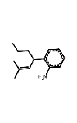 CCCC(C=C(C)C)c1ccccc1N